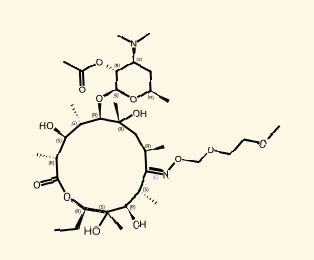 CC[C@H]1OC(=O)[C@H](C)[C@@H](O)[C@H](C)[C@@H](O[C@@H]2O[C@H](C)C[C@H](N(C)C)[C@H]2OC(C)=O)[C@](C)(O)C[C@@H](C)/C(=N\OCOCCOC)[C@H](C)[C@@H](O)[C@]1(C)O